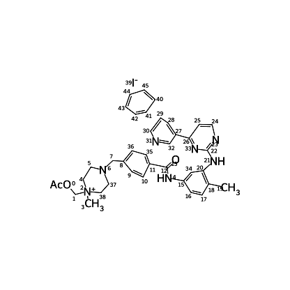 CC(=O)OC[N+]1(C)CCN(Cc2ccc(C(=O)Nc3ccc(C)c(Nc4nccc(-c5cccnc5)n4)c3)cc2)CC1.[I-].c1ccccc1